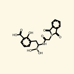 O=C(CN1C(=O)c2ccccc2C1=O)NC(Cc1cccc(C(=O)O)c1O)B(O)O